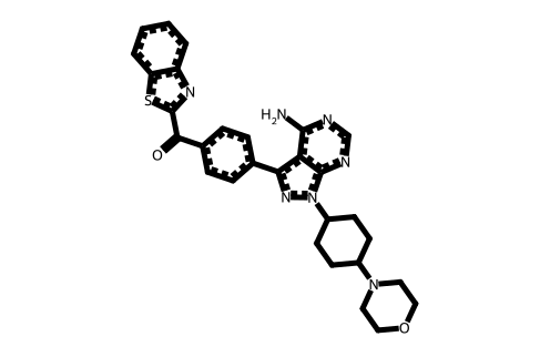 Nc1ncnc2c1c(-c1ccc(C(=O)c3nc4ccccc4s3)cc1)nn2C1CCC(N2CCOCC2)CC1